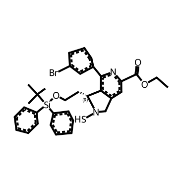 CCOC(=O)c1cc2c(c(-c3cccc(Br)c3)n1)[C@@H](CCO[Si](c1ccccc1)(c1ccccc1)C(C)(C)C)N(S)C2